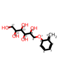 C=C1C=CC=CC1OCC(O)C(O)C(O)C(O)CO